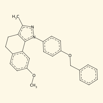 COc1ccc2c(c1)-c1c(c(C)nn1-c1ccc(OCc3ccccc3)cc1)CC2